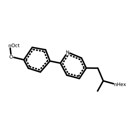 CCCCCCCCOc1ccc(-c2ccc(CC(C)CCCCCC)cn2)cc1